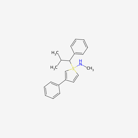 CNS1(C(c2ccccc2)C(C)C)C=CC(c2ccccc2)=C1